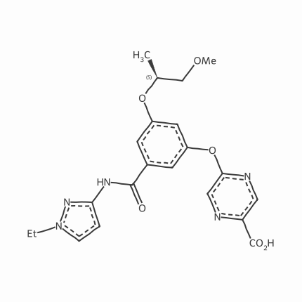 CCn1ccc(NC(=O)c2cc(Oc3cnc(C(=O)O)cn3)cc(O[C@@H](C)COC)c2)n1